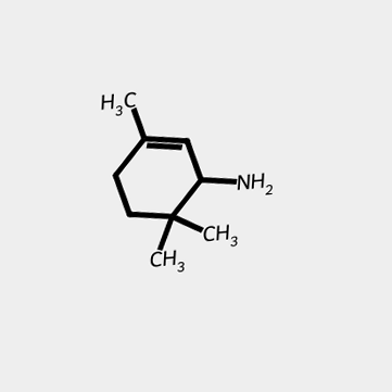 CC1=CC(N)C(C)(C)CC1